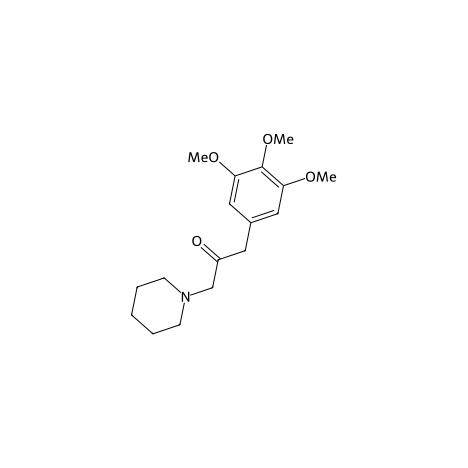 COc1cc(CC(=O)CN2CCCCC2)cc(OC)c1OC